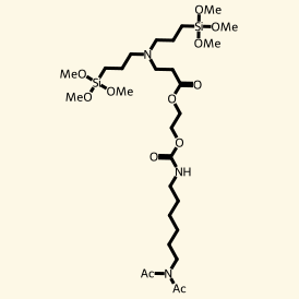 CO[Si](CCCN(CCC[Si](OC)(OC)OC)CCC(=O)OCCOC(=O)NCCCCCCN(C(C)=O)C(C)=O)(OC)OC